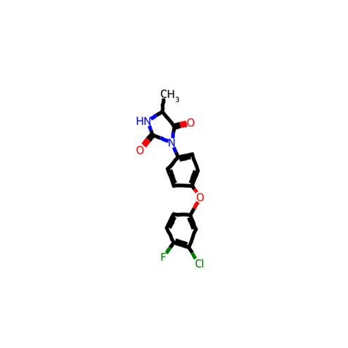 CC1NC(=O)N(c2ccc(Oc3ccc(F)c(Cl)c3)cc2)C1=O